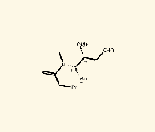 C=C(CC(C)C)N(C)[C@@H]([C@@H](C)CC)[C@@H](CC=O)OC